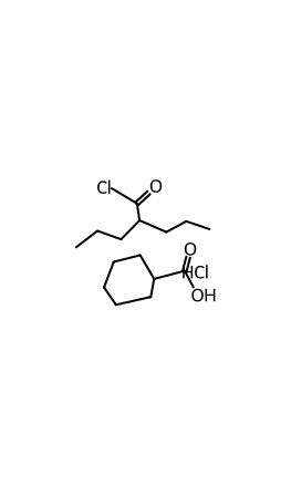 CCCC(CCC)C(=O)Cl.Cl.O=C(O)C1CCCCC1